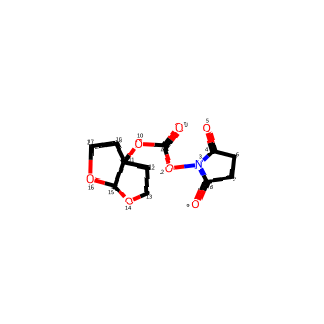 O=C(ON1C(=O)CCC1=O)OC12CCOC1OCC2